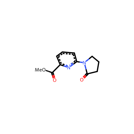 COC(=O)c1cccc(N2CCCC2=O)n1